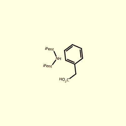 CCCC(C)NC(C)CCC.O=C(O)Cc1ccccc1